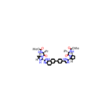 COC(=O)N[C@H](C(=O)N1[C@@H]2CC[C@@H](C2)[C@H]1c1ncc(-c2ccc(-c3ccc4c(ccc5nc([C@@H]6N[C@H]7C[C@H]7N6C(=O)[C@@H](NC(=O)OC)C(C)C)[nH]c54)c3)cc2)[nH]1)C(C)C